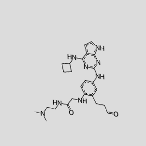 CN(C)CCNC(=O)CNc1ccc(Nc2nc(NC3CCC3)c3cc[nH]c3n2)cc1CCC=O